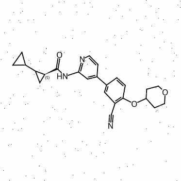 N#Cc1cc(-c2ccnc(NC(=O)[C@H]3CC3C3CC3)c2)ccc1OC1CCOCC1